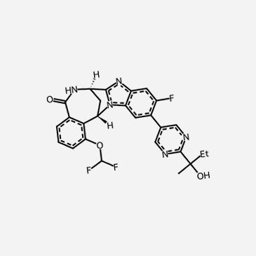 CCC(C)(O)c1ncc(-c2cc3c(cc2F)nc2n3[C@H]3C[C@H]2NC(=O)c2cccc(OC(F)F)c23)cn1